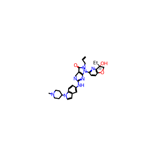 C=CCn1c(=O)c2cnc(Nc3ccc4c(ccn4C4CCN(C)CC4)c3)nc2n1-c1ccc2c(n1)[C@@](O)(CC)CO2